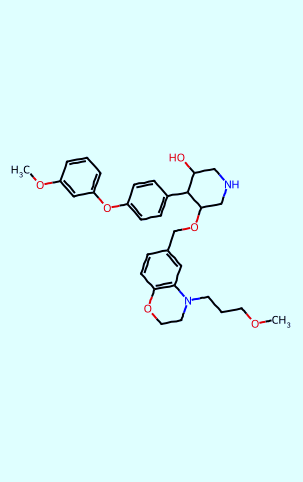 COCCCN1CCOc2ccc(COC3CNCC(O)C3c3ccc(Oc4cccc(OC)c4)cc3)cc21